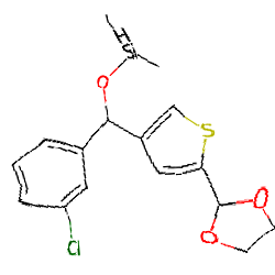 C[SiH](C)OC(c1cccc(Cl)c1)c1csc(C2OCCO2)c1